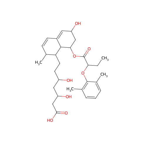 CCC(Oc1c(C)cccc1C)C(=O)OC1CC(O)C=C2C=CC(C)C(CCC(O)CC(O)CC(=O)O)C21